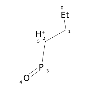 CCCCP=O.[H+]